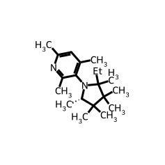 CCC1(C)N(c2c(C)cc(C)nc2C)[C@@H](C)C(C)(C)C1(C)C